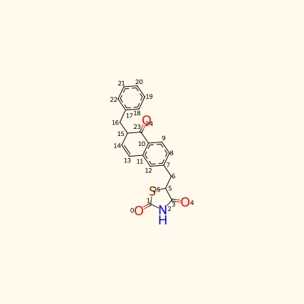 O=C1NC(=O)C(Cc2ccc3c(c2)C=CC(Cc2ccccc2)C3=O)S1